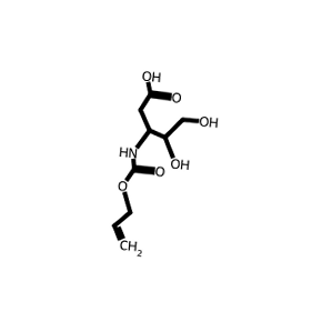 C=CCOC(=O)NC(CC(=O)O)C(O)CO